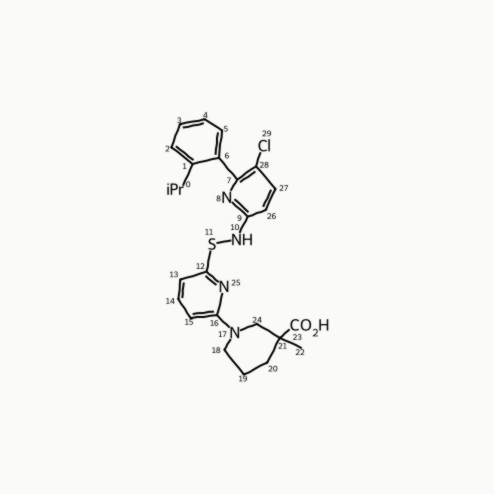 CC(C)c1ccccc1-c1nc(NSc2cccc(N3CCCC(C)(C(=O)O)C3)n2)ccc1Cl